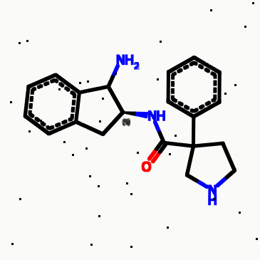 NC1c2ccccc2C[C@@H]1NC(=O)C1(c2ccccc2)CCNC1